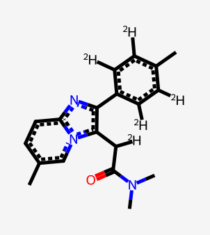 [2H]c1c([2H])c(-c2nc3ccc(C)cn3c2C([2H])C(=O)N(C)C)c([2H])c([2H])c1C